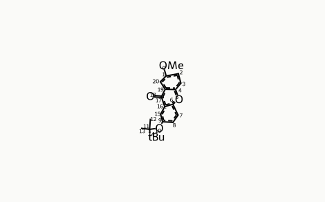 COc1ccc2oc3ccc(OC(C)(C)C(C)(C)C)cc3c(=O)c2c1